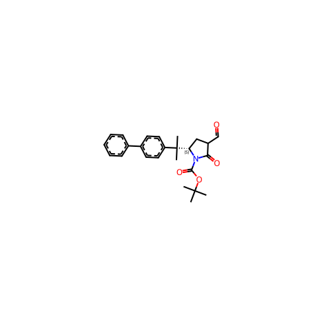 CC(C)(C)OC(=O)N1C(=O)C(C=O)C[C@H]1C(C)(C)c1ccc(-c2ccccc2)cc1